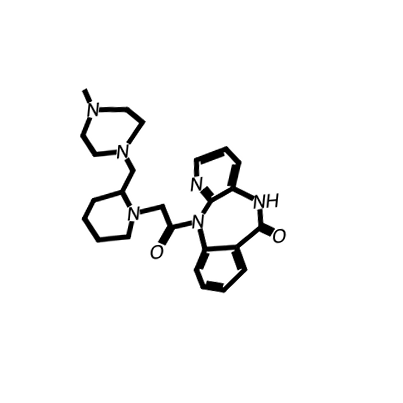 CN1CCN(CC2CCCCN2CC(=O)N2c3ccccc3C(=O)Nc3cccnc32)CC1